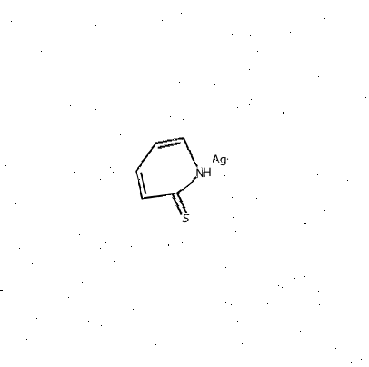 S=c1cccc[nH]1.[Ag]